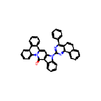 O=c1c2c3ccccc3n(-c3nc(-c4ccccc4)c4ccc5ccccc5c4n3)c2cc2c3ccccc3c3ccccc3n12